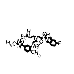 CCNCCN(CC(=O)N(C)N1Cc2ccc(F)cc2C1)C(=O)CNc1cc(-c2nc(C)no2)ccc1C